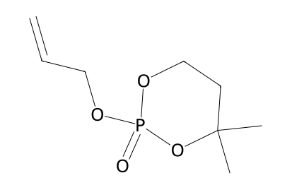 C=CCOP1(=O)OCCC(C)(C)O1